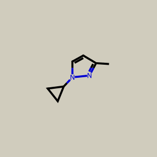 Cc1ccn(C2CC2)n1